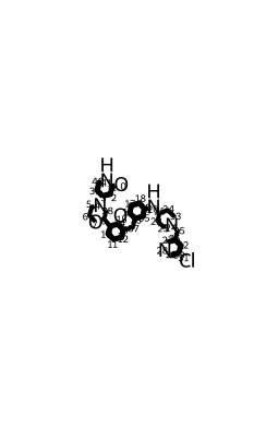 O=c1cc(N2CCOC(c3cccc4c3Oc3ccc(NC5CCN(Cc6cncc(Cl)c6)CC5)cc3C4)C2)cc[nH]1